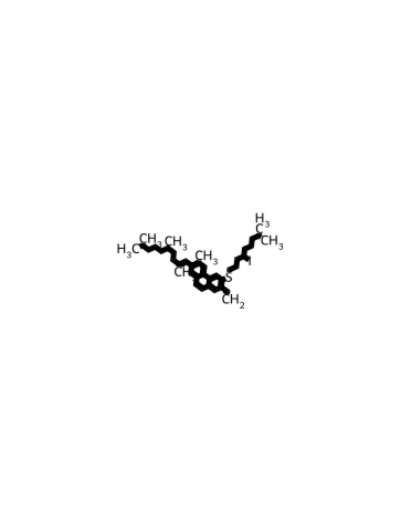 C=Cc1cc2ccc3cc(/C=C(\C)CC[C@@H](C)CCCC(C)C)c(C)cc3c2cc1SCCCC(I)CCCC(C)C